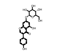 O=c1c(-c2ccc(O)cc2)coc2cc(O[C@@H]3OC(CO)[C@@H](O)C(O)C3O)cc(O)c12